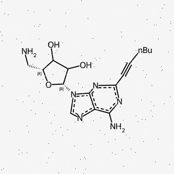 CCCCC#Cc1nc(N)c2ncn([C@@H]3O[C@H](CN)C(O)C3O)c2n1